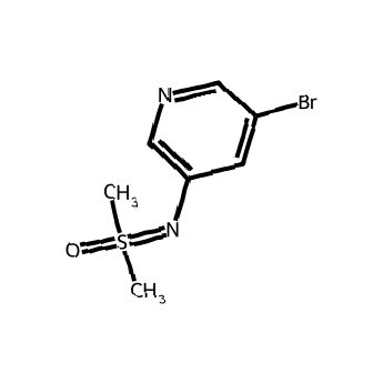 CS(C)(=O)=Nc1cncc(Br)c1